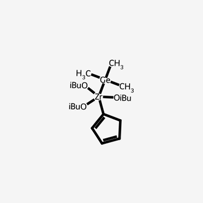 CC(C)C[O][Zr]([O]CC(C)C)([O]CC(C)C)([C]1=CC=CC1)[Ge]([CH3])([CH3])[CH3]